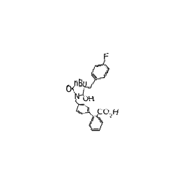 CCCCC(=O)N(Cc1ccc(-c2ccccc2C(=O)O)cc1)C(O)CCc1ccc(F)cc1